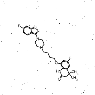 CC1(C)CC(=O)Nc2c(OCCCCN3CCN(c4noc5cc(F)ccc45)CC3)cc(F)cc21